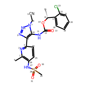 Cc1nc(-c2nnn(CC#N)c2NC(=O)O[C@H](C)c2ccccc2Cl)ccc1NS(C)(=O)=O